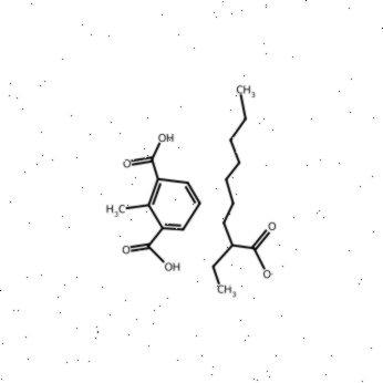 CCCCCCCC(CC)C([O])=O.Cc1c(C(=O)O)cccc1C(=O)O